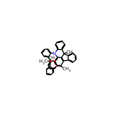 Cc1c2c(c3c4c1-c1ccccc1C4(C)c1ccccc1N3c1ccccc1-c1ccccc1)C(C)(C)c1ccccc1-2